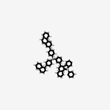 c1ccc(-n2c3ccccc3c3c(-c4cccc(N(c5ccc(-c6ccc7c(ccc8ccccc87)c6)cc5)c5ccc(-c6cccc7ccccc67)cc5)c4)cc4ccccc4c32)cc1